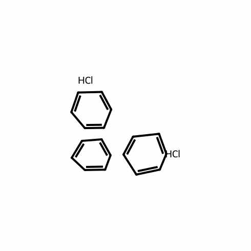 Cl.Cl.c1ccccc1.c1ccccc1.c1ccccc1